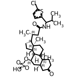 CC(C)C(NC(=O)C[C@@H](C)[C@H]1CC[C@H]2[C@@H]3[C@H](OS(=O)(=O)O)C[C@@H]4CC(=O)CC[C@]4(C)[C@H]3CC[C@]12C)c1ccc(Cl)s1